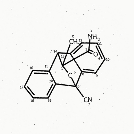 CC1(C(N)=O)CC2(C#N)c3ccccc3C1c1ccccc12